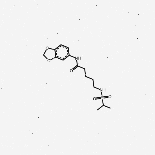 CC(C)S(=O)(=O)NCCCCC(=O)Nc1ccc2c(c1)OCO2